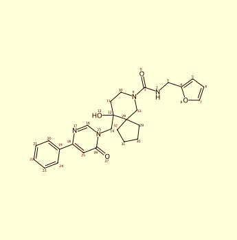 O=C(NCc1ccco1)N1CCC(O)(Cn2cnc(-c3ccccc3)cc2=O)C2(CCCC2)C1